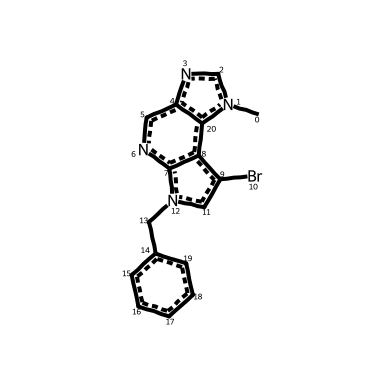 Cn1cnc2cnc3c(c(Br)cn3Cc3ccccc3)c21